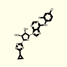 O[C@@H]1[C@H](O)[C@@H](c2nc(C3CC3)no2)O[C@H]1n1cnc2c(Nc3ccc(Cl)cc3F)ncnc21